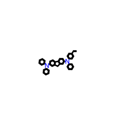 C=Cc1ccc(N(c2ccccc2)c2ccc3c(c2)Cc2cc(N(c4ccccc4)c4ccccc4)ccc2-3)cc1